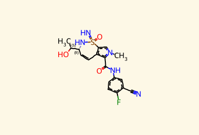 C[C@H](O)[C@H]1C=Cc2c(cn(C)c2C(=O)Nc2ccc(F)c(C#N)c2)S(=N)(=O)N1